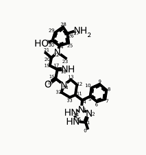 CC1=NN(C(c2ccccc2)C2CCN(C(=O)C(=N)CC(C)N(C)c3cc(N)ccc3O)CC2)NN1